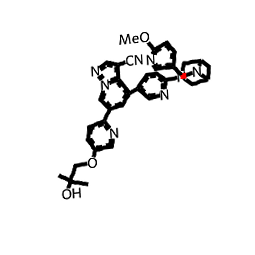 COc1ccc(CN2C3CC2CN(c2ccc(-c4cc(-c5ccc(OCC(C)(C)O)cn5)cn5ncc(C#N)c45)cn2)C3)cn1